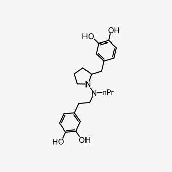 CCCN(CCc1ccc(O)c(O)c1)N1CCCC1Cc1ccc(O)c(O)c1